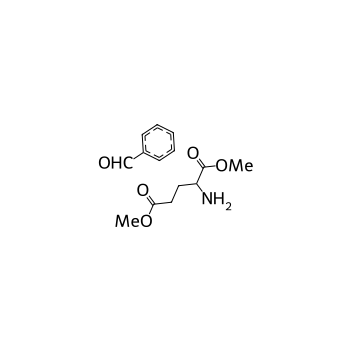 COC(=O)CCC(N)C(=O)OC.O=Cc1ccccc1